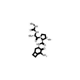 CC(C)[C@H]1CCN(C(=O)[C@@H](NC(=O)NC(C)(C)C)C(C)(C)C)[C@@H]1C(=O)N[C@H]1CC2CCC2=C(N)C1=O